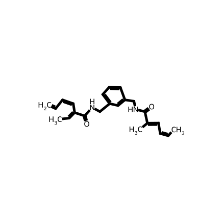 C=C/C=C\C(=C/C)C(=O)NCc1cccc(CNC(=O)/C(C)=C/C=C\C)c1